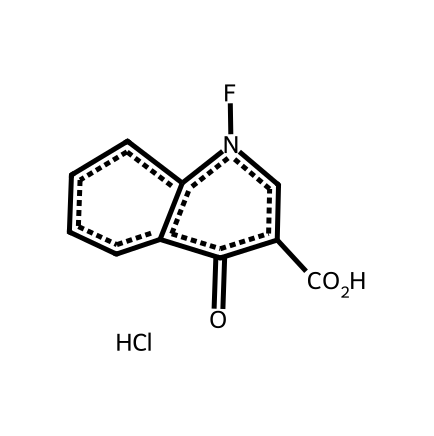 Cl.O=C(O)c1cn(F)c2ccccc2c1=O